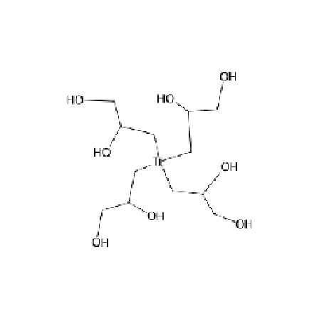 OCC(O)[CH2][Ti]([CH2]C(O)CO)([CH2]C(O)CO)[CH2]C(O)CO